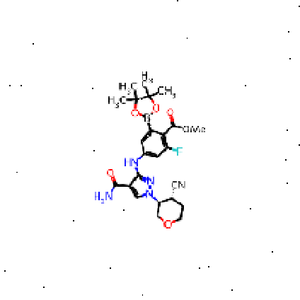 COC(=O)c1c(F)cc(Nc2nn([C@@H]3COCC[C@H]3C#N)cc2C(N)=O)cc1B1OC(C)(C)C(C)(C)O1